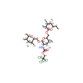 CCC1O[C@@H](OCC2O[C@@H](OCC3OC(C)C(C)[C@@H](C)[C@@H]3C)C(NC(=O)OCC(Cl)(Cl)Cl)[C@@H](C)[C@@H]2C)C(C)[C@@H](C)[C@@H]1C